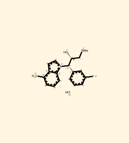 CNC[C@@H](O)[C@H](c1cccc(F)c1)n1ccc2c(C)cccc21.Cl